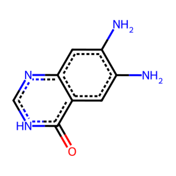 Nc1cc2nc[nH]c(=O)c2cc1N